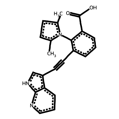 Cc1ccc(C)n1-c1c(C#Cc2c[nH]c3ncccc23)cccc1C(=O)O